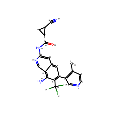 Cc1ccncc1-c1cc2cc(NC(=O)[C@@H]3CC3C#N)ncc2c(N)c1C(F)(F)F